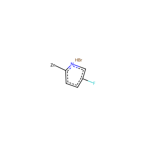 Br.Fc1cc[c]([Zn])nc1